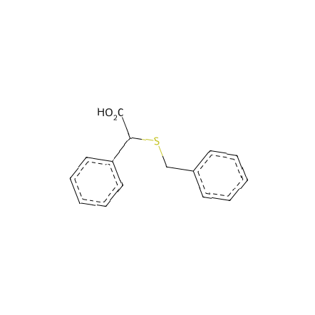 O=C(O)C(SCc1ccccc1)c1ccccc1